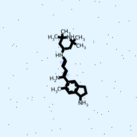 Cc1cc2c(cc1/C(N)=C/C=C/NC1CC(C)(C)NC(C)(C)C1)CCC2N